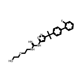 CC(C)(c1ccc(-c2ccccc2F)cc1)c1cc(NC(=N)NCCOCCO)on1